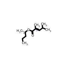 CCC[C@H](C)OC(=O)/C(C)=C/C(C)C